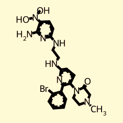 CN1CCN(c2ccc(NCCNc3ccc(N(O)O)c(N)n3)nc2-c2ccccc2Br)C(=O)C1